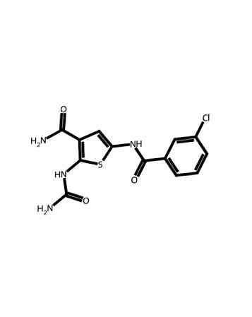 NC(=O)Nc1sc(NC(=O)c2cccc(Cl)c2)cc1C(N)=O